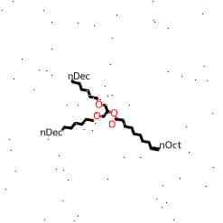 CCCCCCCC/C=C\CCCCCCCC(=O)OC(COCCCCCCCCCCCCCCCC)COCCCCCCCCCCCCCCCC